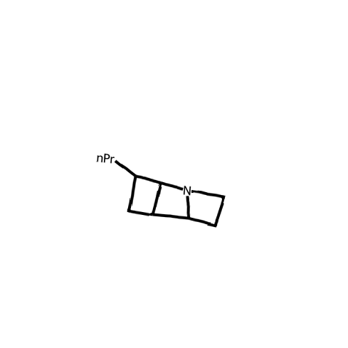 CCCC1CC2C3CCN3C12